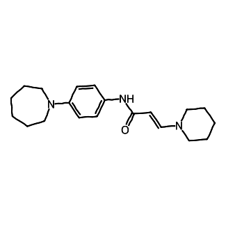 O=C(/C=C/N1CCCCC1)Nc1ccc(N2CCCCCC2)cc1